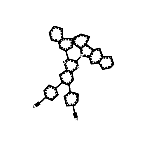 N#Cc1ccc(-c2cc3nc(-c4ccc5ccccc5c4)c(-n4c5ccccc5c5cc6ccccc6cc54)nc3cc2-c2ccc(C#N)cc2)cc1